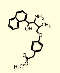 COC(=O)Cc1ccc(OCC(C)C(N)C(O)c2cccc3ccccc23)cc1